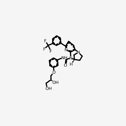 O=C(Nc1cccc(OC[C@@H](O)CO)c1)N1c2nc(-c3cccc(C(F)(F)F)c3)ccc2N2CC[C@H]1C2